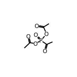 CC(=O)OP(=O)(OC(C)=O)C(C)=O